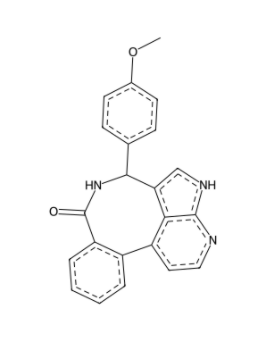 COc1ccc(C2NC(=O)c3ccccc3-c3ccnc4[nH]cc2c34)cc1